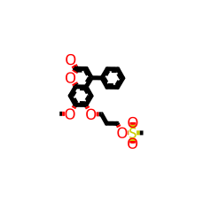 COc1cc2oc(=O)cc(-c3ccccc3)c2cc1OCCCOS(C)(=O)=O